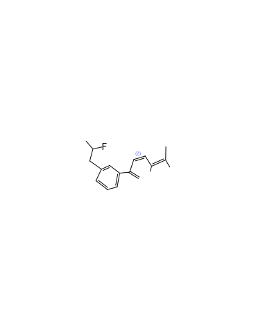 C=C(/C=C\C(C)=C(C)C)c1cccc(CC(C)F)c1